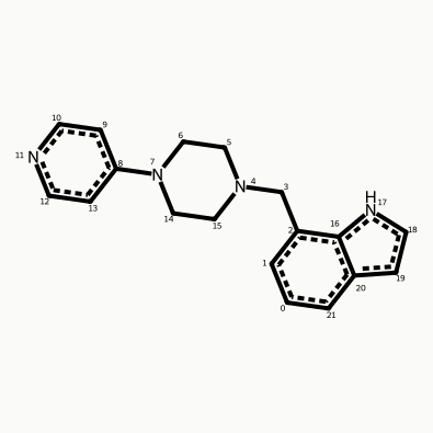 c1cc(CN2CCN(c3ccncc3)CC2)c2[nH]ccc2c1